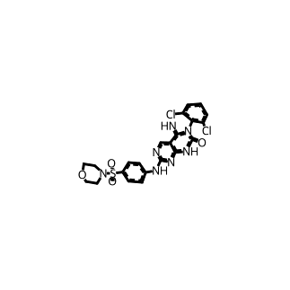 N=c1c2cnc(Nc3ccc(S(=O)(=O)N4CCOCC4)cc3)nc2[nH]c(=O)n1-c1c(Cl)cccc1Cl